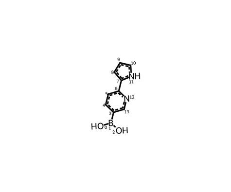 OB(O)c1ccc(-c2ccc[nH]2)nc1